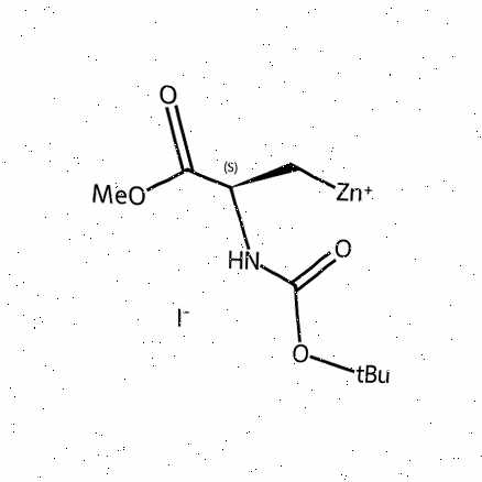 COC(=O)[C@@H]([CH2][Zn+])NC(=O)OC(C)(C)C.[I-]